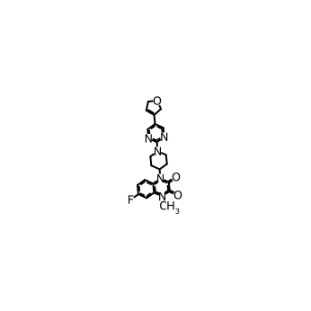 Cn1c(=O)c(=O)n(C2CCN(c3ncc(C4=CCOC4)cn3)CC2)c2ccc(F)cc21